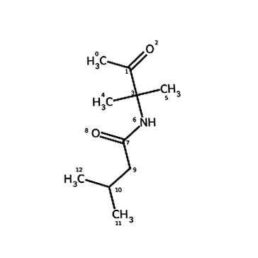 CC(=O)C(C)(C)NC(=O)CC(C)C